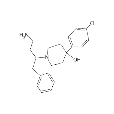 NCCC(Cc1ccccc1)N1CCC(O)(c2ccc(Cl)cc2)CC1